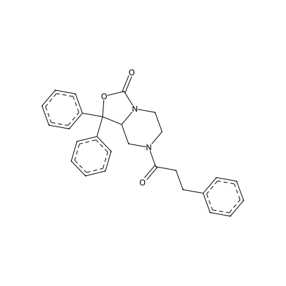 O=C(CCc1ccccc1)N1CCN2C(=O)OC(c3ccccc3)(c3ccccc3)C2C1